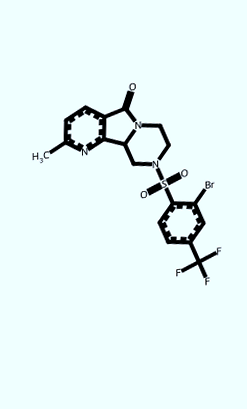 Cc1ccc2c(n1)C1CN(S(=O)(=O)c3ccc(C(F)(F)F)cc3Br)CCN1C2=O